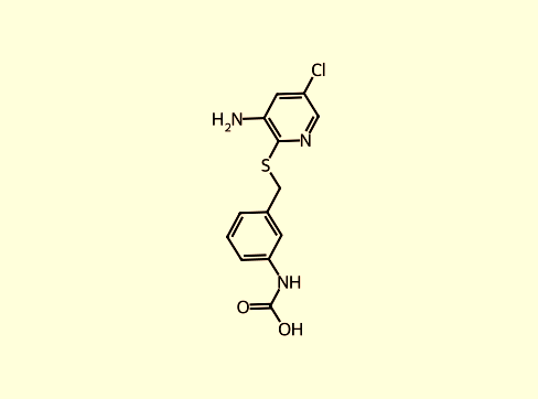 Nc1cc(Cl)cnc1SCc1cccc(NC(=O)O)c1